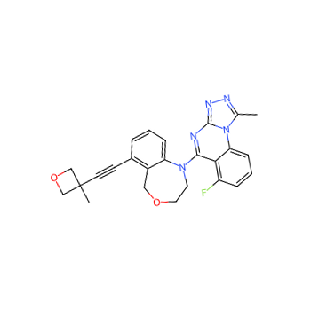 Cc1nnc2nc(N3CCOCc4c(C#CC5(C)COC5)cccc43)c3c(F)cccc3n12